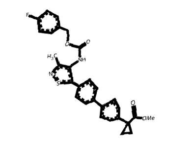 COC(=O)C1(c2ccc(-c3ccc(-c4snc(C)c4NC(=O)OCc4ccc(F)cc4)cc3)cc2)CC1